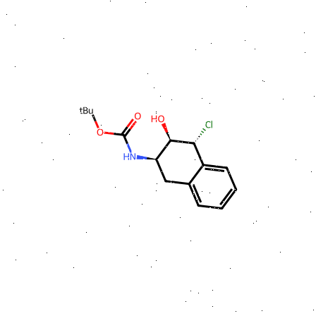 CC(C)(C)OC(=O)N[C@@H]1Cc2ccccc2[C@@H](Cl)[C@@H]1O